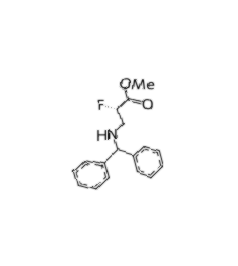 COC(=O)[C@@H](F)CNC(c1ccccc1)c1ccccc1